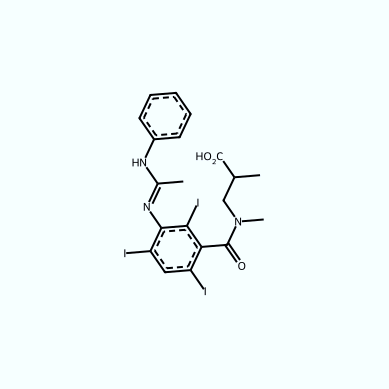 CC(=Nc1c(I)cc(I)c(C(=O)N(C)CC(C)C(=O)O)c1I)Nc1ccccc1